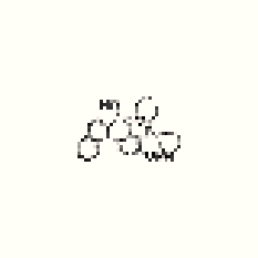 COc1ccc(-c2c(CO)ccc3ccccc23)c(OC)c1P(C1CCCCC1)C1CCCCC1